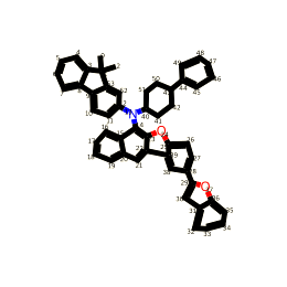 CC1(C)c2ccccc2-c2ccc(N(c3c4ccccc4cc4c3oc3ccc(-c5cc6ccccc6o5)cc34)C3CCC(c4ccccc4)CC3)cc21